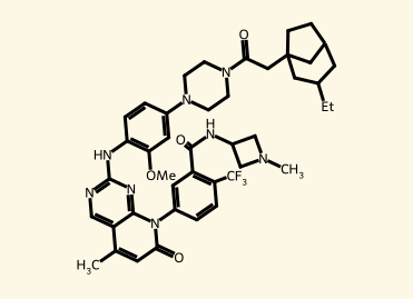 CCC1CC2CCC(CC(=O)N3CCN(c4ccc(Nc5ncc6c(C)cc(=O)n(-c7ccc(C(F)(F)F)c(C(=O)NC8CN(C)C8)c7)c6n5)c(OC)c4)CC3)(C1)C2